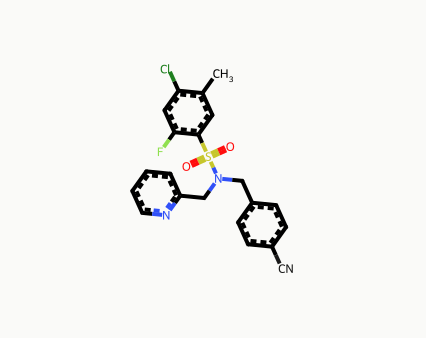 Cc1cc(S(=O)(=O)N(Cc2ccc(C#N)cc2)Cc2ccccn2)c(F)cc1Cl